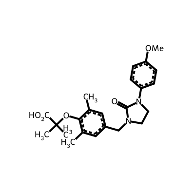 COc1ccc(N2CCN(Cc3cc(C)c(OC(C)(C)C(=O)O)c(C)c3)C2=O)cc1